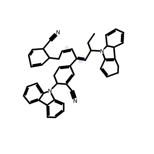 CCC(/C=C(\C=C/CC1C=CC=CC1C#N)C1=CCC(n2c3ccccc3c3ccccc32)C(C#N)=C1)N1C2=C(CCC=C2)C2C=CC=CC21